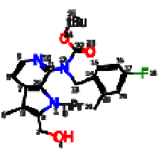 CCCn1c(CO)c(C)c2ccnc(N(Cc3ccc(F)cc3C)C(=O)OC(C)(C)C)c21